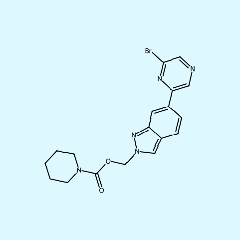 O=C(OCn1cc2ccc(-c3cncc(Br)n3)cc2n1)N1CCCCC1